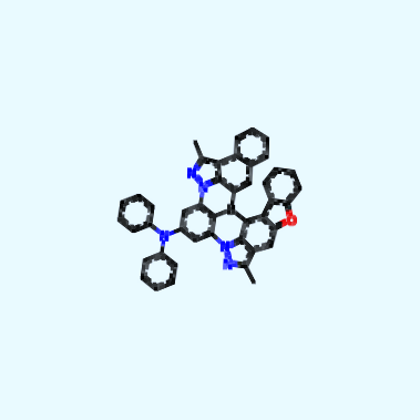 Cc1nn2c3c(c4c(cc13)oc1ccccc14)B1c3c-2cc(N(c2ccccc2)c2ccccc2)cc3-n2nc(C)c3c4ccccc4cc1c32